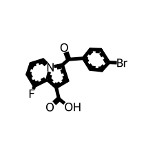 O=C(O)c1cc(C(=O)c2ccc(Br)cc2)n2cccc(F)c12